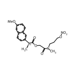 COc1ccc2cc([C@H](C)C(=O)OCC(=O)N(C)CCCO[N+](=O)[O-])ccc2c1